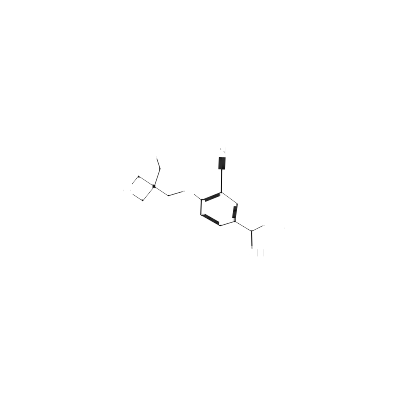 CC(C)c1ccc(OCC2(CO)COC2)c(C#N)c1